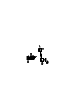 C[O-].[Ba+2].[OH-]